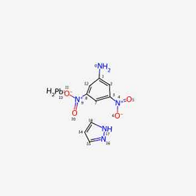 Nc1cc([N+](=O)[O-])cc([N+](=O)[O-])c1.[PbH2].c1cn[nH]c1